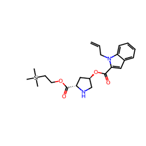 C=CCn1c(C(=O)O[C@H]2CN[C@H](C(=O)OCC[Si](C)(C)C)C2)cc2ccccc21